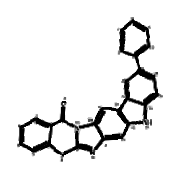 O=c1c2ccccc2sc2nc3cc4[nH]c5ccc(-c6ccccc6)cc5c4cc3n12